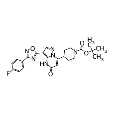 CC(C)(C)OC(=O)N1CCC(c2cc(=O)[nH]c3c(-c4nc(-c5ccc(F)cc5)no4)cnn23)CC1